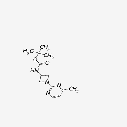 Cc1ccnc(N2CC(NC(=O)OC(C)(C)C)C2)n1